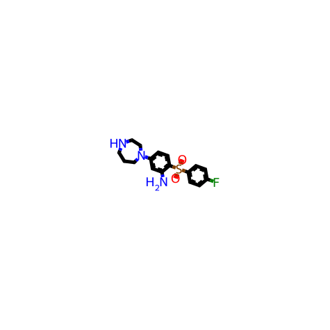 Nc1cc(N2CCCNCC2)ccc1S(=O)(=O)c1ccc(F)cc1